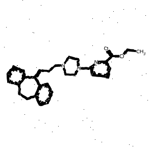 CCOC(=O)c1cccc(N2CCN(CCC=C3c4ccccc4CCc4ccccc43)CC2)n1